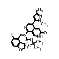 Cc1cc(-c2cnc(N(Cc3c(F)ccc4c3CCO4)C(=O)OC(C)(C)C)c3c[nH]c(=O)cc23)n(C)n1